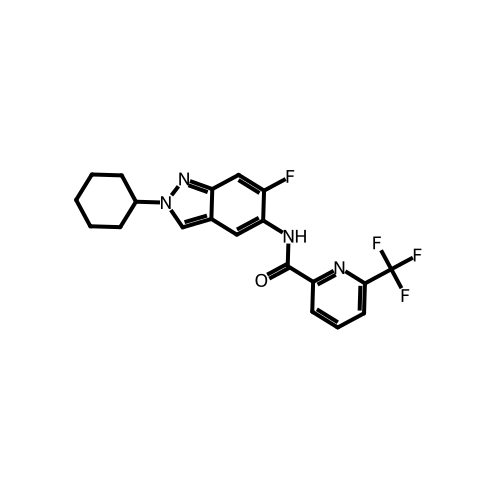 O=C(Nc1cc2cn(C3CCCCC3)nc2cc1F)c1cccc(C(F)(F)F)n1